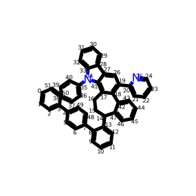 c1ccc(-c2ccc(-c3ccccc3C3CCc4c(c(-c5ccccn5)cc5c6ccccc6n(-c6ccccc6)c45)-c4ccccc43)cc2)cc1